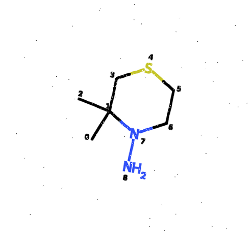 CC1(C)CSCCN1N